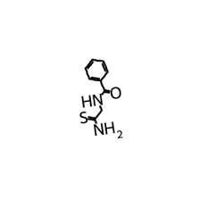 NC(=S)CNC(=O)c1ccccc1